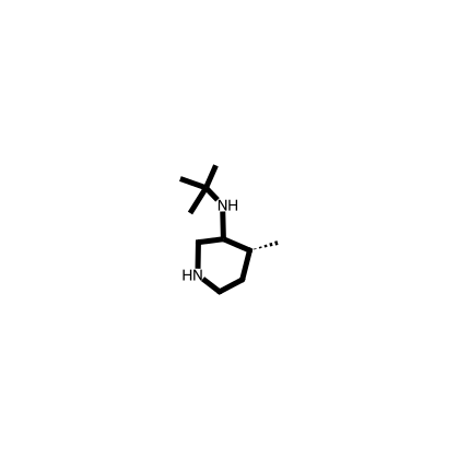 C[C@@H]1CCNCC1NC(C)(C)C